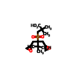 CC(C)(CS(=O)(=O)C(CC1CO1)(CC1CO1)C(C)(C)C(=O)O)C(=O)O